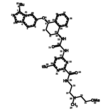 CC[C@H](C)c1nnc2ccc(O[C@@H]3CC[C@H](NC(=O)Nc4cc(C(C)(C)C)nc(C(=O)NCCN(C)CCOC)n4)c4ccccc43)cn12